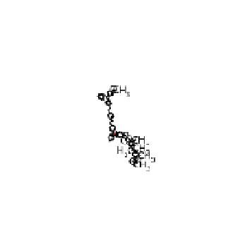 COc1ccc(N(c2ccccc2)c2ccc(CCc3ccc(CCc4ccc(N(c5ccccc5)c5ccc(OC(=O)Oc6ccc(C(C)(C)c7ccc(OC(C)=O)c(C)c7)cc6C)cc5)cc4)cc3)cc2)cc1